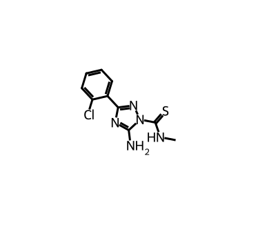 CNC(=S)n1nc(-c2ccccc2Cl)nc1N